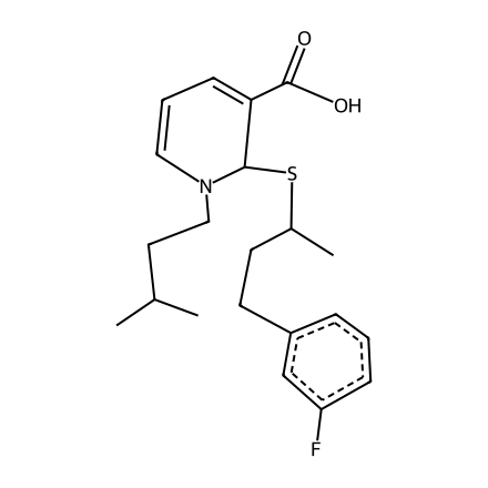 CC(C)CCN1C=CC=C(C(=O)O)C1SC(C)CCc1cccc(F)c1